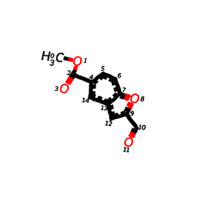 COC(=O)c1ccc2oc(C=O)cc2c1